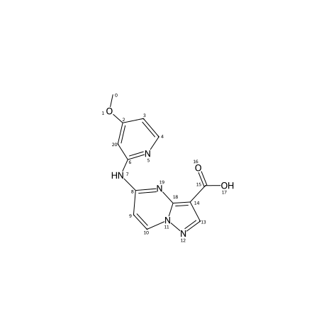 COc1ccnc(Nc2ccn3ncc(C(=O)O)c3n2)c1